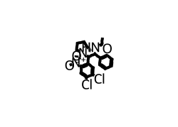 CC(=O)N[C@@H](c1ccccc1)C(c1cc(Cl)c(Cl)cc1[N+](=O)[O-])[N+]1(C)CCCC1